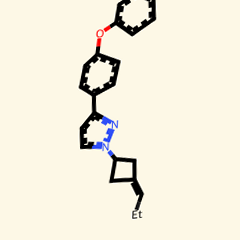 CCC=C1CC(n2ccc(-c3ccc(Oc4ccccc4)cc3)n2)C1